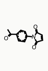 CC(=O)c1ccc(N2C(=O)C=CC2=O)cc1